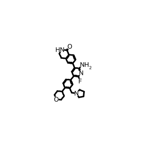 Nc1nc(F)c(-c2ccc(C3CCOCC3)c(CN3CCCC3)c2)cc1-c1ccc2c(c1)CCNC2=O